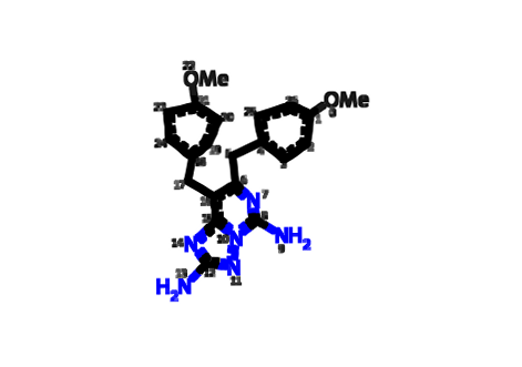 COc1ccc(Cc2nc(N)n3nc(N)nc3c2Cc2ccc(OC)cc2)cc1